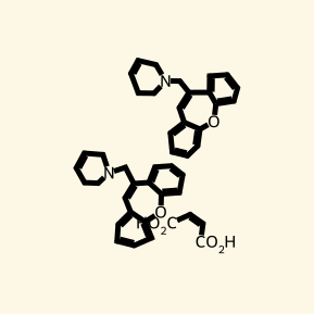 C1=CCN(CC2=Cc3ccccc3Oc3ccccc32)CC1.C1=CCN(CC2=Cc3ccccc3Oc3ccccc32)CC1.O=C(O)/C=C\C(=O)O